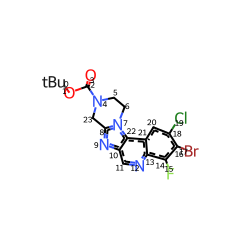 CC(C)(C)OC(=O)N1CCn2c(nc3cnc4c(F)c(Br)c(Cl)cc4c32)C1